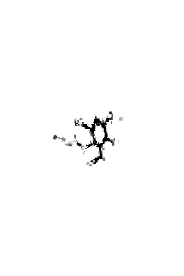 COc1c(Br)cc(C)c(F)c1C=O